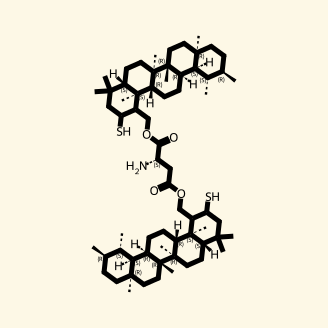 C[C@@H]1[C@H]2[C@H]3CC[C@@H]4[C@@]5(C)C(COC(=O)C[C@H](N)C(=O)OCC6C(S)CC(C)(C)[C@@H]7CC[C@]8(C)[C@H](CC[C@@H]9[C@@H]%10[C@@H](C)[C@H](C)CC[C@]%10(C)CC[C@]98C)[C@@]67C)C(S)CC(C)(C)[C@@H]5CC[C@@]4(C)[C@]3(C)CC[C@@]2(C)CC[C@H]1C